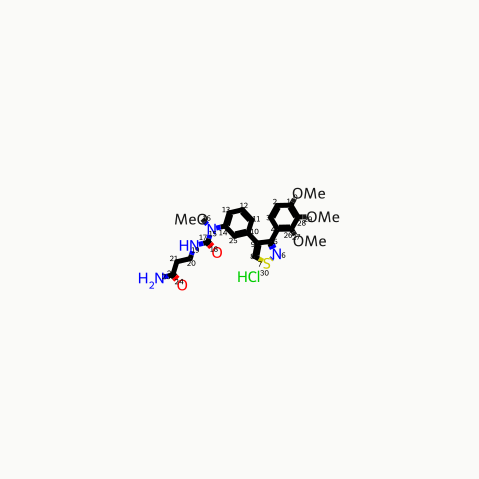 COc1ccc(-c2nscc2-c2cccc(N(OC)C(=O)NCCC(N)=O)c2)c(OC)c1OC.Cl